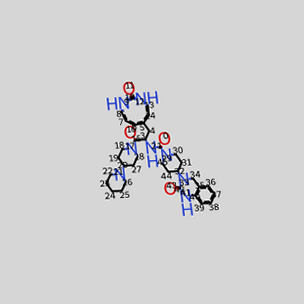 O=C(NC(Cc1ccc[nH]c(=O)[nH]cc1)C(=O)N1CCC(N2CCCCC2)CC1)N1CCC(N2Cc3ccccc3NC2=O)CC1